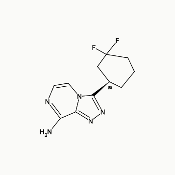 Nc1nccn2c([C@@H]3CCCC(F)(F)C3)nnc12